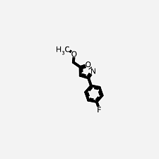 COCc1cc(-c2ccc(F)cc2)no1